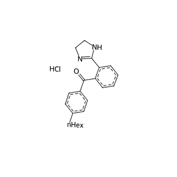 CCCCCCc1ccc(C(=O)c2ccccc2C2=NCCN2)cc1.Cl